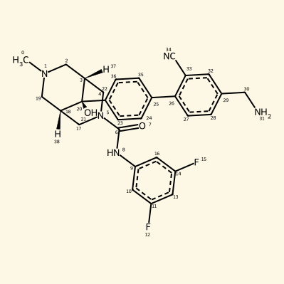 CN1C[C@@H]2CN(C(=O)Nc3cc(F)cc(F)c3)C[C@H](C1)[C@@]2(O)c1ccc(-c2ccc(CN)cc2C#N)cc1